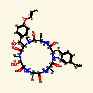 C/C=C/Oc1ccc([C@@H](O)[C@H]2C(=O)N(C)C(O)C(=O)N[C@@H](C)C(=O)N[C@H](C)C(=O)N(C)[C@@H](Cc3ccc(OC)cc3)C(=O)N[C@H](C)C(=O)N2C)cc1